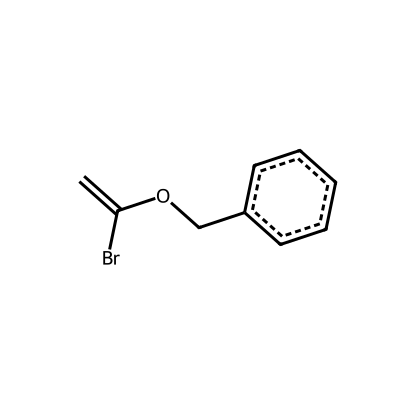 C=C(Br)OCc1ccccc1